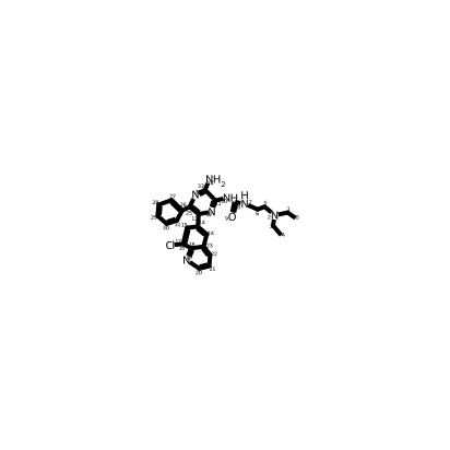 CCN(CC)CCNC(=O)Nc1nc(-c2cc(Cl)c3ncccc3c2)c(-c2ccccc2)nc1N